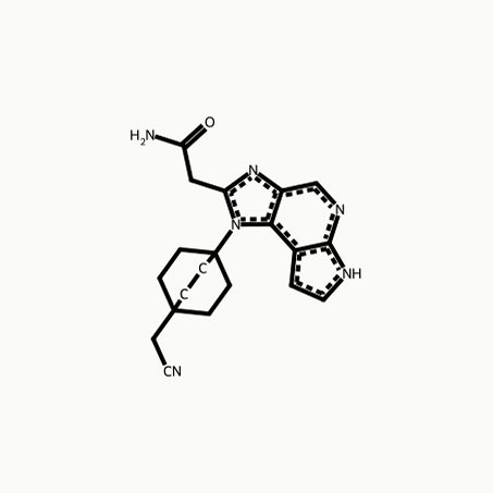 N#CCC12CCC(n3c(CC(N)=O)nc4cnc5[nH]ccc5c43)(CC1)CC2